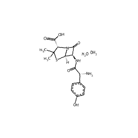 CC1(C)S[C@@H]2[C@H](NC(=O)[C@H](N)c3ccc(O)cc3)C(=O)N2[C@H]1C(=O)O.O.O